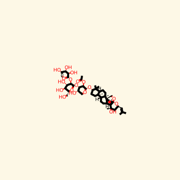 CC(=O)O[C@H]1[C@H](O[C@H]2CC[C@]3(C)[C@H]4CC[C@@H]5[C@@H]6[C@]7(C[C@@]5(CO7)[C@]4(C)CC[C@H]3C2(C)C)O[C@@H](C=C(C)C)C[C@]6(C)O)OC[C@H](O)[C@@H]1O[C@@H]1O[C@H](CO)[C@@H](O)[C@H](O)[C@H]1O[C@@H]1OC[C@@H](O)[C@H](O)[C@H]1O